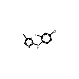 Cc1cnc(Nc2ccc(Cl)cc2F)s1